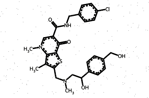 Cc1c(CN(C)CC(O)c2ccc(CO)cc2)sc2c(=O)c(C(=O)NCc3ccc(Cl)cc3)cn(C)c12